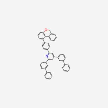 c1ccc(-c2cccc(-c3cc(-c4ccc(-c5cccc6c5-c5ccccc5CO6)cc4)nc(-c4cccc(-c5ccccc5)c4)c3)c2)cc1